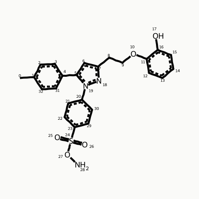 Cc1ccc(-c2cc(CCOc3ccccc3O)nn2-c2ccc(S(=O)(=O)ON)cc2)cc1